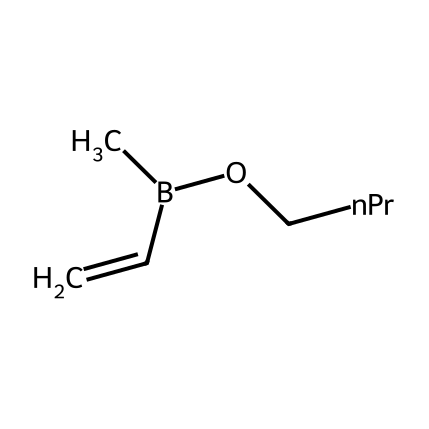 C=CB(C)OCCCC